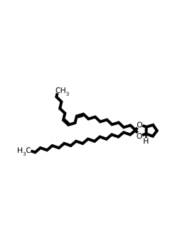 CCCCC/C=C\C/C=C\CCCCCCCCC1(CCCCCCCCCCCCCCCCCC)OC2CCC[C@@H]2O1